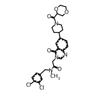 CN(Cc1ccc(Cl)c(Cl)c1)C(=O)Cn1cnc2ccc(C3CCN(C(=O)C4COCCO4)CC3)cc2c1=O